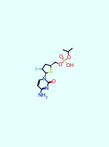 CC(C)OP(=O)(O)OC[C@@H]1C[C@H](F)[C@H](n2ccc(N)nc2=O)S1